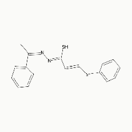 CC(=NN=C(S)C=CSc1ccccc1)c1ccccc1